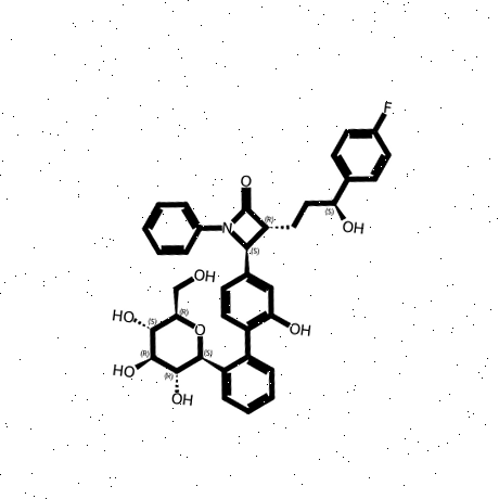 O=C1[C@H](CC[C@H](O)c2ccc(F)cc2)[C@@H](c2ccc(-c3ccccc3[C@@H]3O[C@H](CO)[C@@H](O)[C@H](O)[C@H]3O)c(O)c2)N1c1ccccc1